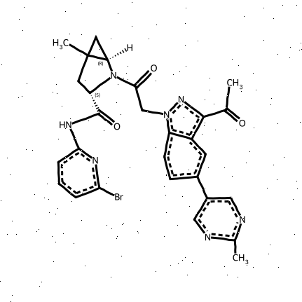 CC(=O)c1nn(CC(=O)N2[C@H](C(=O)Nc3cccc(Br)n3)CC3(C)C[C@@H]23)c2ccc(-c3cnc(C)nc3)cc12